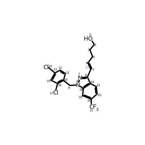 OCCC/C=C/c1nn(Cc2ccc(Cl)cc2Cl)c2cc(C(F)(F)F)ccc12